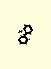 [H+].c1ccc(-c2ccccc2)cc1